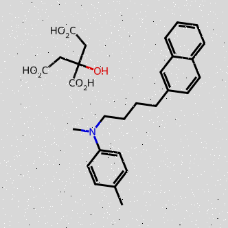 Cc1ccc(N(C)CCCCc2ccc3ccccc3c2)cc1.O=C(O)CC(O)(CC(=O)O)C(=O)O